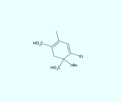 CCCCC1(C(=O)O)CC(C(=O)O)=C(C)C=C1CC